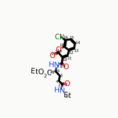 CCNC(=O)CC[C@@H](NC(=O)c1cc2cccc(Cl)c2oc1=O)C(=O)OCC